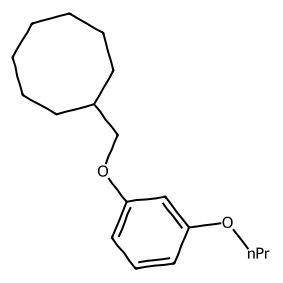 CCCOc1cccc(OCC2CCCCCCC2)c1